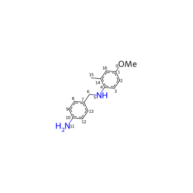 COc1ccc(NCc2ccc(N)cc2)c(C)c1